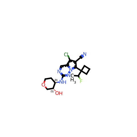 CC(F)C1(c2c(C#N)c(Cl)c3cnc(N[C@@H]4CCOC[C@H]4O)nn23)CCC1